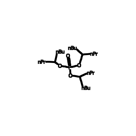 CCCCC(CCC)OP(=O)(OC(CCC)CCCC)OC(CCC)CCCC